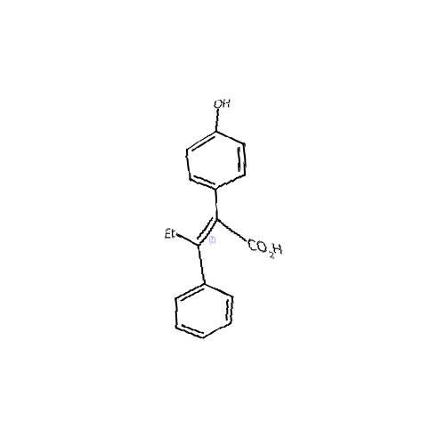 CC/C(=C(/C(=O)O)c1ccc(O)cc1)c1ccccc1